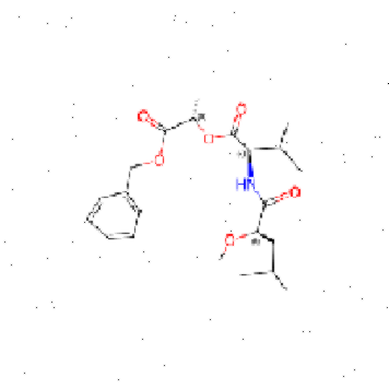 CO[C@H](CC(C)C)C(=O)N[C@@H](C(=O)O[C@@H](C)C(=O)OCc1ccccc1)C(C)C